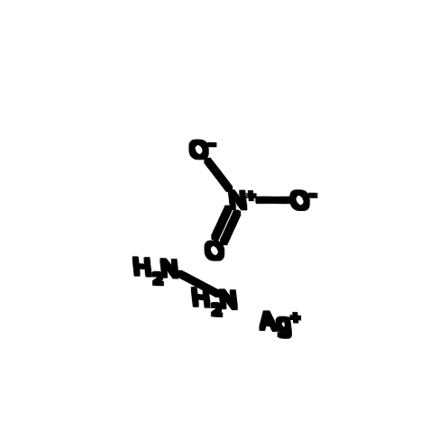 NN.O=[N+]([O-])[O-].[Ag+]